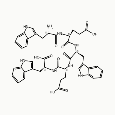 N[C@@H](Cc1c[nH]c2ccccc12)C(=O)N[C@@H](CCC(=O)O)C(=O)N[C@@H](Cc1c[nH]c2ccccc12)C(=O)N[C@@H](CCC(=O)O)C(=O)N[C@@H](Cc1c[nH]c2ccccc12)C(=O)O